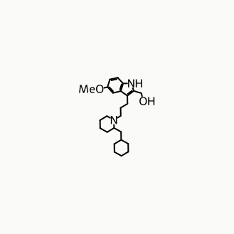 COc1ccc2[nH]c(CO)c(CCCN3CCCCC3CC3CCCCC3)c2c1